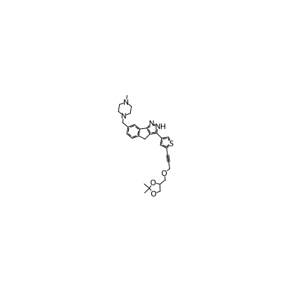 CN1CCN(Cc2ccc3c(c2)-c2n[nH]c(-c4csc(C#CCOCC5COC(C)(C)O5)c4)c2C3)CC1